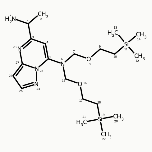 CC(N)c1cc(N(COCC[Si](C)(C)C)COCC[Si](C)(C)C)n2nccc2n1